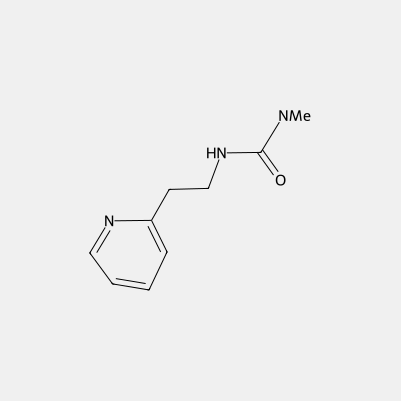 CNC(=O)NCCc1ccccn1